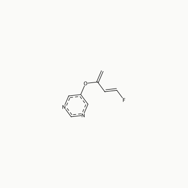 C=C(/C=C/F)Oc1cncnc1